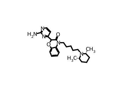 C[C@@H]1CCC[C@H](C)N1CCCCCN1C(=O)C(c2ccnc(N)n2)Oc2ccccc21